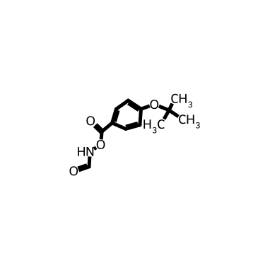 CC(C)(C)Oc1ccc(C(=O)ONC=O)cc1